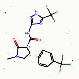 CN1C[C@@H](c2ccc(C(F)(F)F)cc2)[C@H](C(=O)Nc2n[nH]c(C(F)(F)F)n2)C1=O